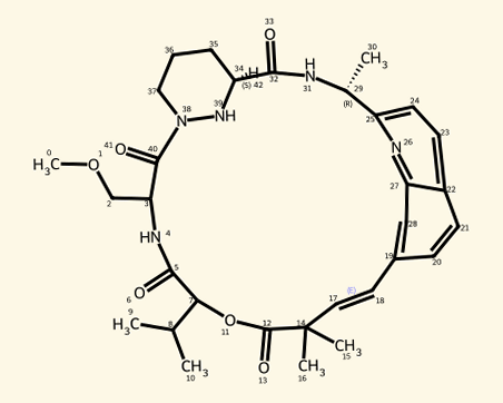 COCC1NC(=O)C(C(C)C)OC(=O)C(C)(C)/C=C/c2ccc3ccc(nc3c2)[C@@H](C)NC(=O)[C@@H]2CCCN(N2)C1=O